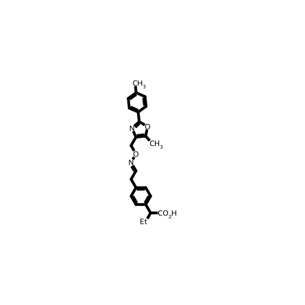 CCC(C(=O)O)c1ccc(CC=NOCc2nc(-c3ccc(C)cc3)oc2C)cc1